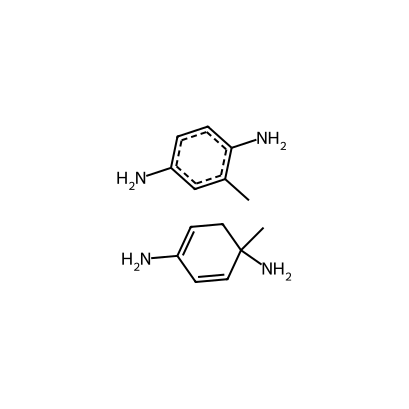 CC1(N)C=CC(N)=CC1.Cc1cc(N)ccc1N